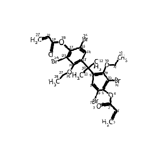 C=CC(=O)Oc1c(Br)cc(C(C)(C)c2cc(Br)c(OC(=O)C=C)c(Br)c2OCC)c(OCC)c1Br